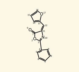 O=C1OC(c2ccccc2)=N/C1=C/c1ccco1